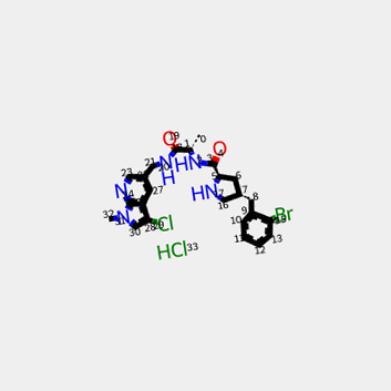 C[C@H](NC(=O)[C@H]1C[C@H](Cc2ccccc2Br)CN1)C(=O)NCc1cnc2c(c1)c(Cl)cn2C.Cl